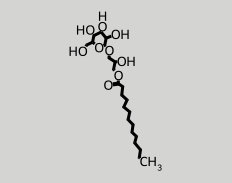 CCCCCCCCCCCCCC(=O)OCC(O)CO[C@@H]1OC(CO)[C@H](O)C(O)C1O